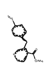 COC(=O)c1ccncc1Cc1ccc(SC)cc1